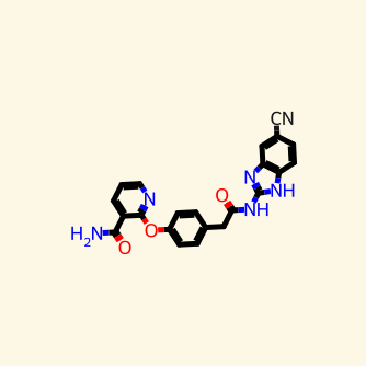 N#Cc1ccc2[nH]c(NC(=O)Cc3ccc(Oc4ncccc4C(N)=O)cc3)nc2c1